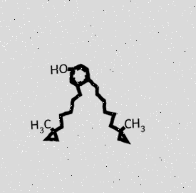 CC1(CCCCCCc2ccc(O)cc2CCCCCC2(C)CC2)CC1